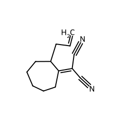 C=CCC1CCCCCC1=C(C#N)C#N